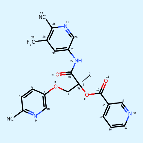 C[C@@](COc1ccc(C#N)nc1)(OC(=O)c1cccnc1)C(=O)Nc1cnc(C#N)c(C(F)(F)F)c1